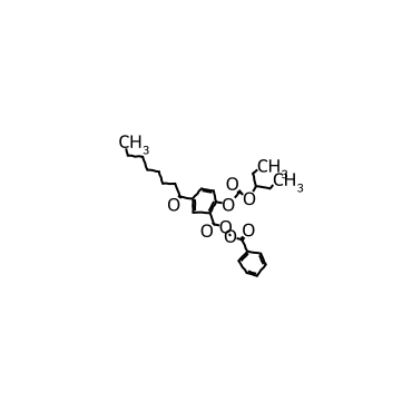 CCCCCCCC(=O)c1ccc(OC(=O)OC(CC)CC)c(C(=O)OOC(=O)c2ccccc2)c1